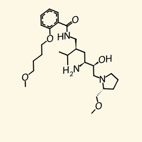 COCCCCOc1ccccc1C(=O)NC[C@@H](C[C@H](N)[C@@H](O)CN1CCC[C@@H]1COC)C(C)C